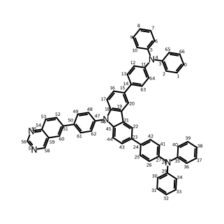 c1ccc(N(c2ccccc2)c2ccc(-c3ccc4c(c3)c3cc(-c5ccc(N(c6ccccc6)c6ccccc6)cc5)ccc3n4-c3ccc(-c4ccc5ncncc5c4)cc3)cc2)cc1